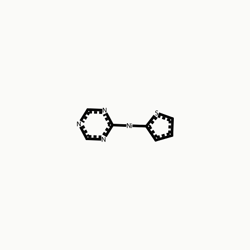 c1cs[c]([Ni][c]2ncncn2)c1